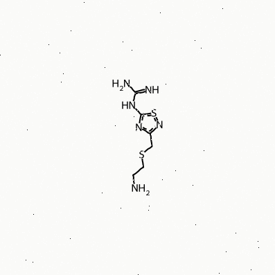 N=C(N)Nc1nc(CSCCN)ns1